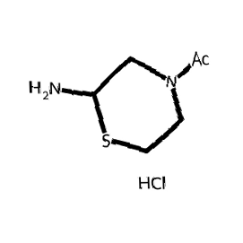 CC(=O)N1CCSC(N)C1.Cl